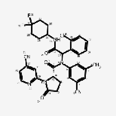 Cc1cc(C#N)cc(N(C(=O)[C@@H]2CCC(=O)N2c2cc(C#N)ccn2)C(C(=O)NC2CCC(F)(F)CC2)c2ccccc2Cl)c1